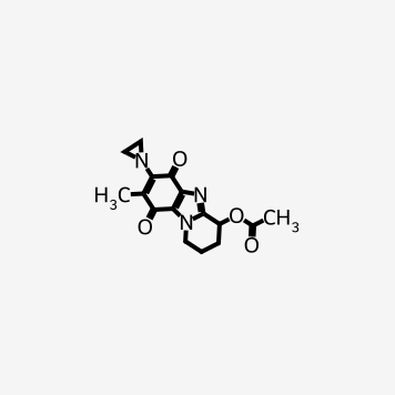 CC(=O)OC1CCCn2c1nc1c2C(=O)C(C)=C(N2CC2)C1=O